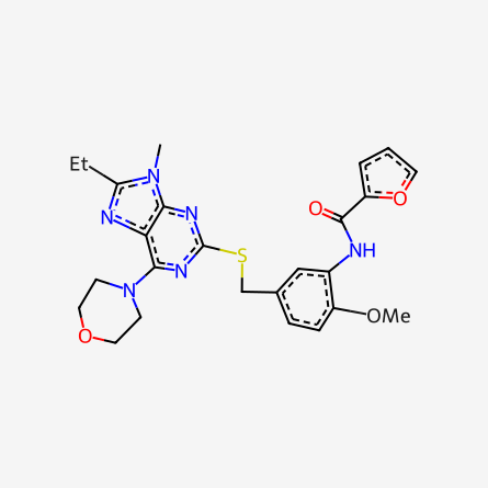 CCc1nc2c(N3CCOCC3)nc(SCc3ccc(OC)c(NC(=O)c4ccco4)c3)nc2n1C